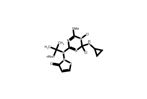 CCCCCCCCCC(C)(C)N(C1=NC(Cl)(NC2CC2)N(Cl)C(SC)=N1)n1sccc1=O